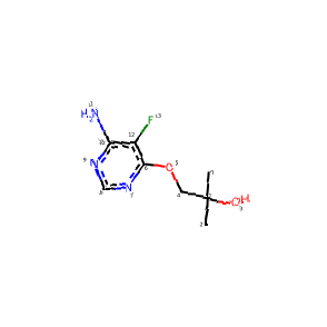 CC(C)(O)COc1ncnc(N)c1F